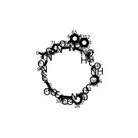 CC(C)C[C@H]1C(=O)N(C)CC/C=C/C(=O)OCC(C)(C)C(=O)C(=O)N2CCCCC2C(=O)OCc2cccc(c2)NC(=O)CCC(=O)N[C@@H](c2ccccc2)C(=O)N(C)[C@@H](Cc2ccccc2)C(=O)N2CCCC2C(=O)N1C